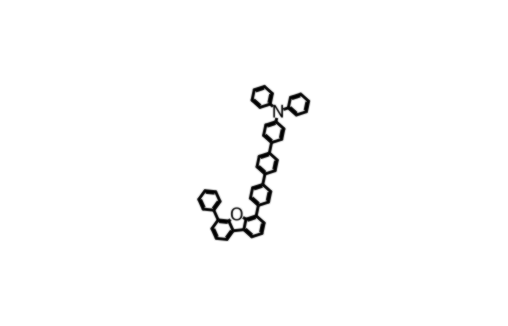 c1ccc(-c2cccc3c2oc2c(-c4ccc(-c5ccc(-c6ccc(N(c7ccccc7)c7ccccc7)cc6)cc5)cc4)cccc23)cc1